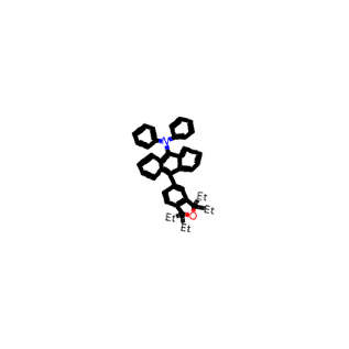 CCC1(CC)OC(CC)(CC)c2cc(-c3c4ccccc4c(N(c4ccccc4)c4ccccc4)c4ccccc34)ccc21